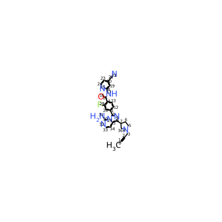 CC#CCN1CCC(c2nc(-c3ccc(C(=O)Nc4cc(C#N)ccn4)c(F)c3)n3c(N)nccc23)C1